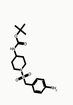 CC(C)(C)OC(=O)NC1CCN(S(=O)(=O)Cc2ccc(N)cc2)CC1